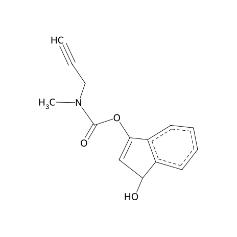 C#CCN(C)C(=O)OC1=CC(O)c2ccccc21